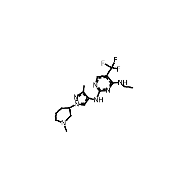 CCNc1nc(Nc2cn(C3CCCN(C)C3)nc2C)ncc1C(F)(F)F